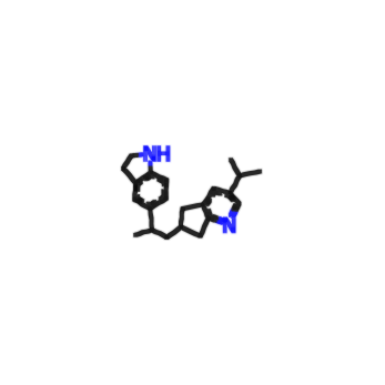 CC(C)c1cnc2c(c1)CC(CC(C)c1ccc3c(c1)CCN3)C2